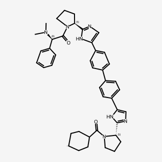 CN(C)[C@@H](C(=O)N1CCC[C@H]1c1ncc(-c2ccc(-c3ccc(-c4cnc([C@@H]5CCCN5C(=O)C5CC[CH]CC5)[nH]4)cc3)cc2)[nH]1)c1ccccc1